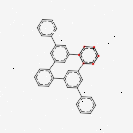 c1ccc(-c2cc(-c3ccccc3)cc(-c3ccccc3-c3cc(-c4ccccc4)cc(-c4ccccc4)c3)c2)cc1